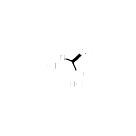 C[C](C)C(=N)N.Cl.Cl